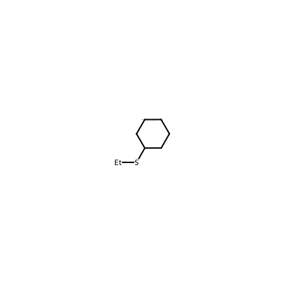 CCSC1C[CH]CCC1